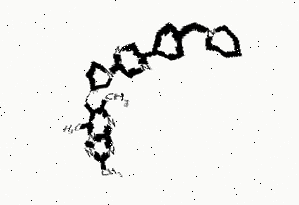 Cc1nc2nc(C)c(C[C@@H]3CCN(c4cnc(-c5ccc(CN6CCCCC6)cc5)cn4)C3)c(C)n2n1